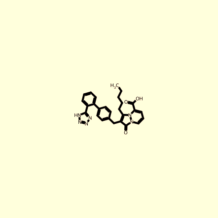 CCCCCc1c(Cc2ccc(-c3ccccc3-c3nnn[nH]3)cc2)c(=O)n2cccc(C(=O)O)n12